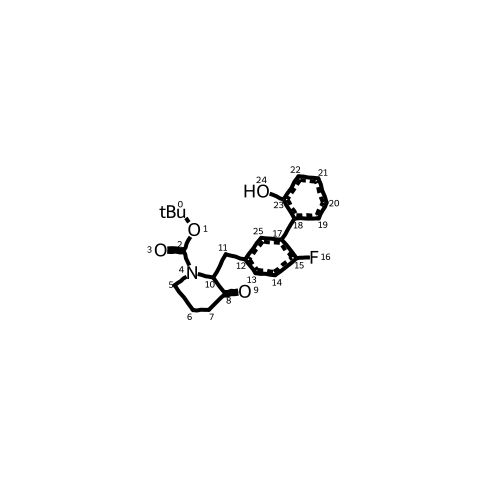 CC(C)(C)OC(=O)N1CCCC(=O)C1Cc1ccc(F)c(-c2ccccc2O)c1